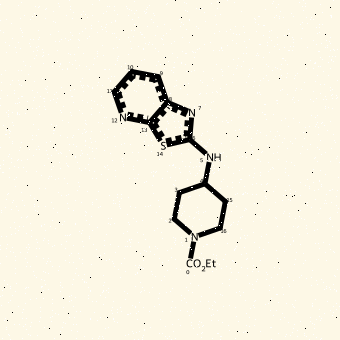 CCOC(=O)N1CCC(Nc2nc3cccnc3s2)CC1